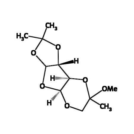 COC1(C)CO[C@H]2OC3OC(C)(C)O[C@@H]3[C@H]2O1